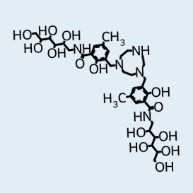 Cc1cc(CN2CCNCCN(Cc3cc(C)cc(C(=O)NCC(O)C(O)C(O)C(O)CO)c3O)CC2)c(O)c(C(=O)NCC(O)C(O)C(O)C(O)CO)c1